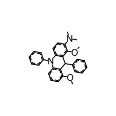 COc1cccc2c1C(c1ccccc1)c1c(ccc(N(C)C)c1OC)N2c1ccccc1